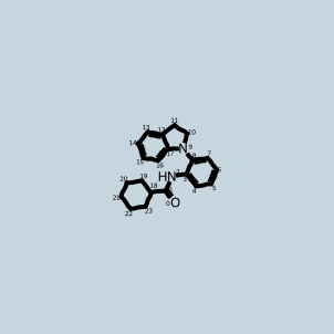 O=C(Nc1ccccc1N1CCc2ccccc21)C1CCCCC1